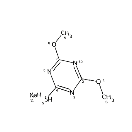 COc1nc(S)nc(OC)n1.[NaH]